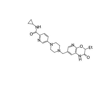 CCC1Oc2ncc(CN3CCN(c4ccc(C(=O)NC5CC5)nc4)CC3)cc2NC1=O